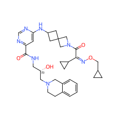 O=C(NC[C@H](O)CN1CCc2ccccc2C1)c1cc(NC2CC3(C2)CN(C(=O)C(=NOCC2CC2)C2CC2)C3)ncn1